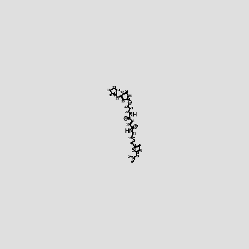 CN(C)Cc1ccc(CSCCNC(=O)/C=C/C(=O)NCCCOc2cccc(CN3CCCC3)c2)s1